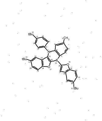 Cc1ccc2c(c1)N(c1ccc(C(C)(C)C)cc1)c1c(oc3ccc(C(C)(C)C)cc13)B2c1cc2cc(C(C)(C)C)ccc2o1